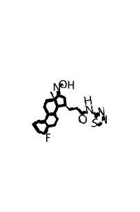 C[C@]12CCC3c4cccc(F)c4CCC3C1[C@H](CCC(=O)Nc1nncs1)C/C2=N\O